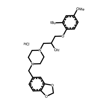 COc1ccc(OCC(O)CN2CCN(Cc3ccc4c(c3)OCO4)CC2)c(C(C)(C)C)c1.Cl